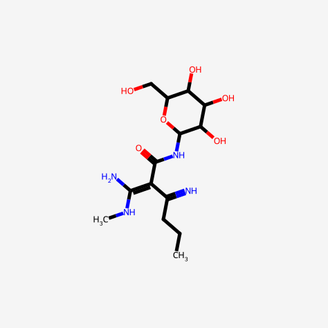 CCCC(=N)/C(C(=O)NC1OC(CO)C(O)C(O)C1O)=C(/N)NC